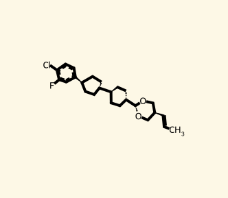 C/C=C/[C@H]1CO[C@H]([C@H]2CC[C@H]([C@H]3CC[C@H](c4ccc(Cl)c(F)c4)CC3)CC2)OC1